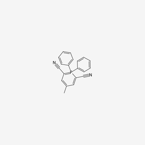 CC1=CC(C#N)=P(c2ccccc2)(c2ccccc2)C(C#N)=C1